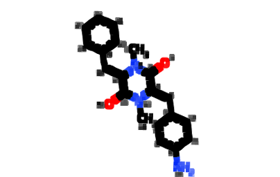 Cn1c(=O)c(=Cc2ccc(N)cc2)n(C)c(=O)c1=Cc1ccccc1